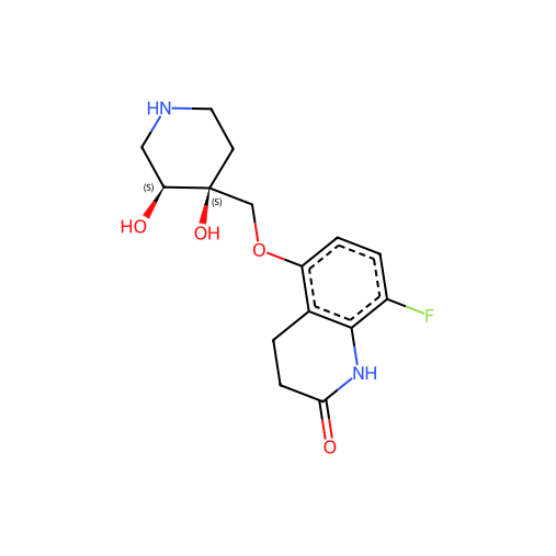 O=C1CCc2c(OC[C@@]3(O)CCNC[C@@H]3O)ccc(F)c2N1